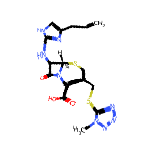 C=CCc1c[nH]c(NC2C(=O)N3C(C(=O)O)=C(CSc4nnnn4C)CS[C@@H]23)n1